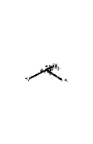 CCCCCCCCCCCCCCCC(=O)OCC(O)CN(CCCCC(N)C(=O)OC(C)(C)C)CC(O)COC(=O)CCCCCCCCCCCCCCC